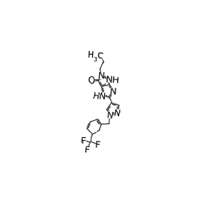 CCCn1[nH]c2nc(-c3cnn(CC4=CC=CC(C(F)(F)F)C4)c3)[nH]c2c1=O